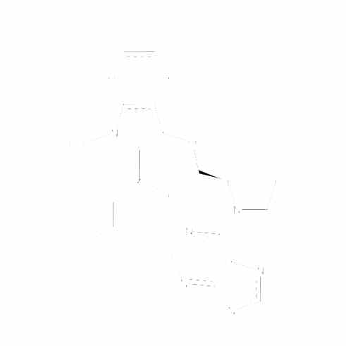 CCOC(=O)c1c(OC[C@H]2CCCN2c2ncnc3[nH]cnc23)c2cc(F)ccc2n1C